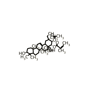 C/C=C(/C)C(=O)O[C@H]1[C@H](OC(C)=O)[C@](C)(CC)CC2C3=CCC4[C@@]5(C)CC[C@H](O)C(C)(C)C5CC[C@@]4(C)[C@]3(C)C[C@@H](O)[C@]21CO